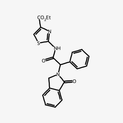 CCOC(=O)c1csc(NC(=O)C(c2ccccc2)N2Cc3ccccc3C2=O)n1